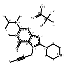 CC#CCn1c(N2CCNCC2)nc2nc(N(C)C(C)C)n(C)c(=O)c21.O=C(O)C(F)(F)F